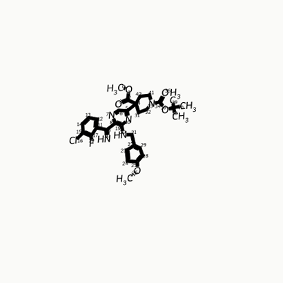 COC(=O)C1(c2cnc(C(=N)c3cccc(Cl)c3F)c(NCc3ccc(OC)cc3)n2)CCN(C(=O)OC(C)(C)C)CC1